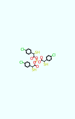 O=C(OP(OC(=O)C(S)c1ccc(Cl)cc1)OC(=O)C(S)c1ccc(Cl)cc1)C(S)c1ccc(Cl)cc1